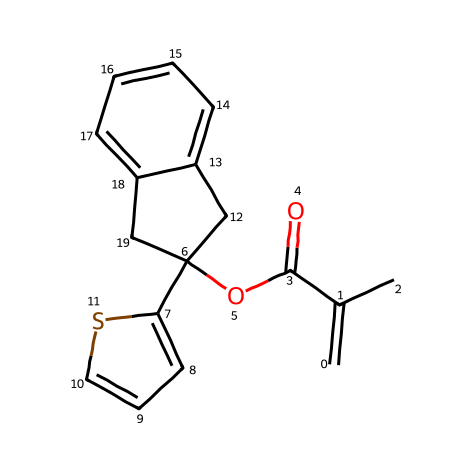 C=C(C)C(=O)OC1(c2cccs2)Cc2ccccc2C1